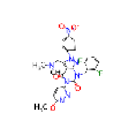 COc1ccc(-n2c(=O)c3c(CN(C)C)n(-c4ccc([N+](=O)[O-])cc4)nc3n(Cc3c(F)cccc3F)c2=O)nn1